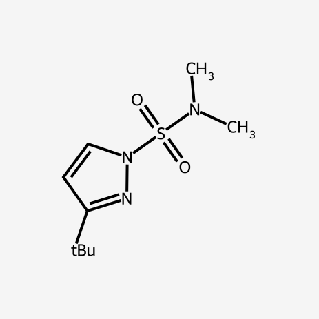 CN(C)S(=O)(=O)n1ccc(C(C)(C)C)n1